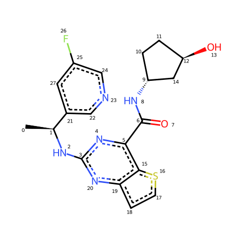 C[C@H](Nc1nc(C(=O)N[C@@H]2CC[C@@H](O)C2)c2sccc2n1)c1cncc(F)c1